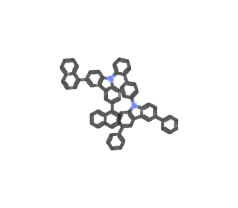 c1ccc(-c2ccc3c(c2)c2cc(-c4ccccc4)ccc2n3-c2ccc(-c3ccccc3-n3c4ccc(-c5cccc6ccccc56)cc4c4cc(-c5cccc6ccccc56)ccc43)cc2)cc1